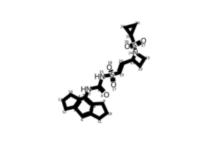 O=C(Nc1c2c(cc3c1CCC3)CCC2)NS(=O)(=O)/C=C/C1CCN1S(=O)(=O)C1CC1